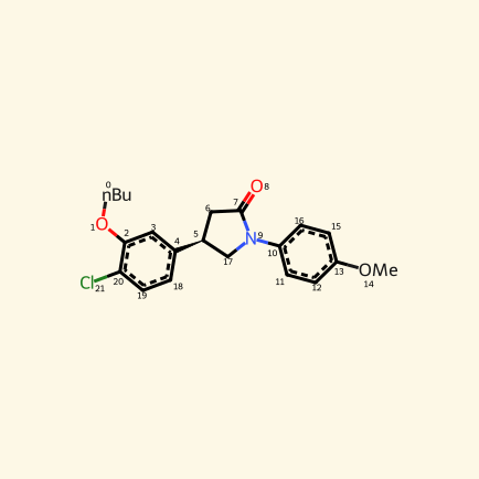 CCCCOc1cc([C@H]2CC(=O)N(c3ccc(OC)cc3)C2)ccc1Cl